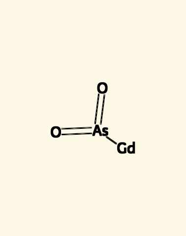 O=[As](=O)[Gd]